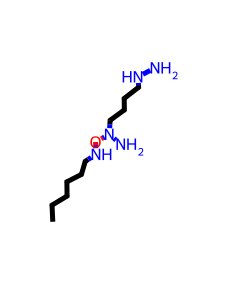 CCCCCCNON(N)CCCCNN